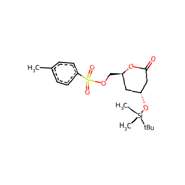 Cc1ccc(S(=O)(=O)OC[C@@H]2C[C@@H](O[Si](C)(C)C(C)(C)C)CC(=O)O2)cc1